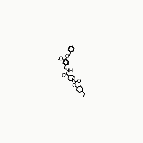 CCC1CCC(OC(=O)N2CCC(C(=O)NCc3ccc(OCc4ccccc4)c(OC)c3)CC2)CC1